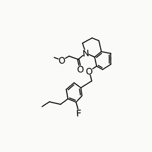 CCCc1ccc(COc2cccc3c2N(C(=O)COC)CCC3)cc1F